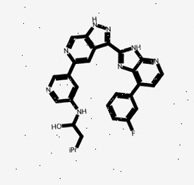 CC(C)CC(O)Nc1cncc(-c2cc3c(-c4nc5c(-c6cccc(F)c6)ccnc5[nH]4)n[nH]c3cn2)c1